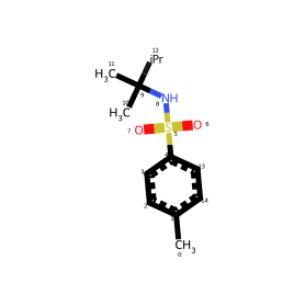 Cc1ccc(S(=O)(=O)NC(C)(C)C(C)C)cc1